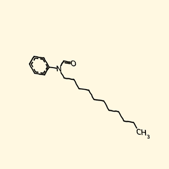 CCCCCCCCCCCN(C=O)c1ccccc1